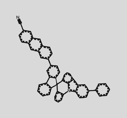 N#Cc1ccc2cc3cc(-c4ccc5c(c4)-c4ccccc4C54c5ccccc5-n5c6ccc(-c7ccccc7)cc6c6cccc4c65)ccc3cc2c1